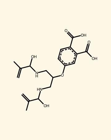 C=C(C)C(O)NCC(CNC(O)C(=C)C)Oc1ccc(C(=O)O)c(C(=O)O)c1